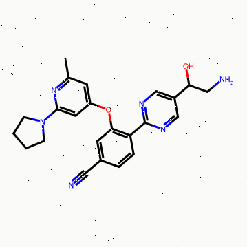 Cc1cc(Oc2cc(C#N)ccc2-c2ncc(C(O)CN)cn2)cc(N2CCCC2)n1